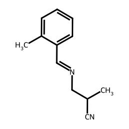 Cc1ccccc1/C=N/CC(C)C#N